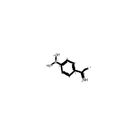 N=C(I)c1ccc(B(O)O)cc1